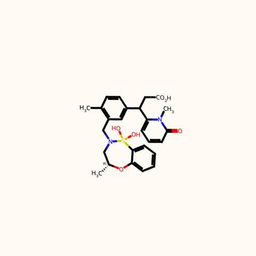 Cc1ccc(C(CC(=O)O)c2cccc(=O)n2C)cc1CN1C[C@@H](C)Oc2ccccc2S1(O)O